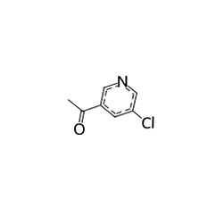 CC(=O)c1cncc(Cl)c1